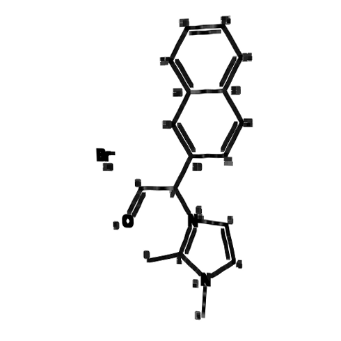 Cc1n(C)cc[n+]1C(C=O)c1ccc2ccccc2c1.[Br-]